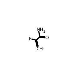 [CH]=C(F)C(N)=O